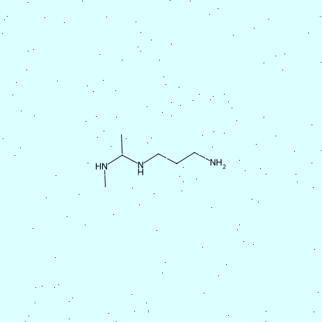 CNC(C)NCCCN